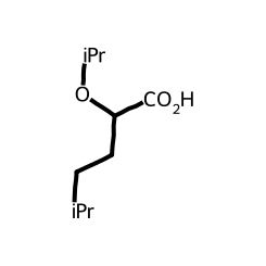 CC(C)CCC(OC(C)C)C(=O)O